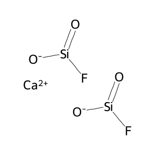 O=[Si]([O-])F.O=[Si]([O-])F.[Ca+2]